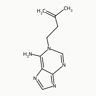 C=C(C)CCn1cnc2ncnc-2c1N